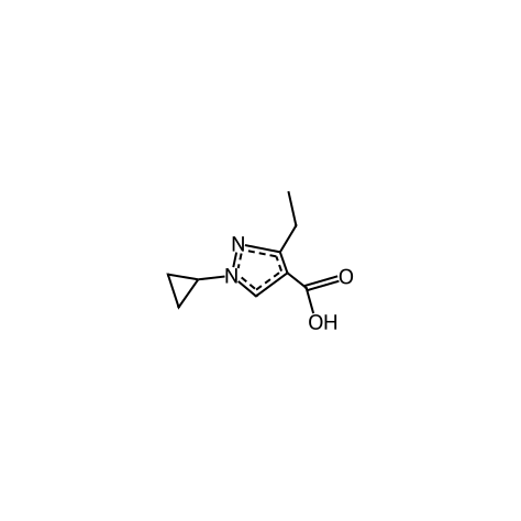 CCc1nn(C2CC2)cc1C(=O)O